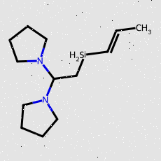 CC=C[SiH2]CC(N1CCCC1)N1CCCC1